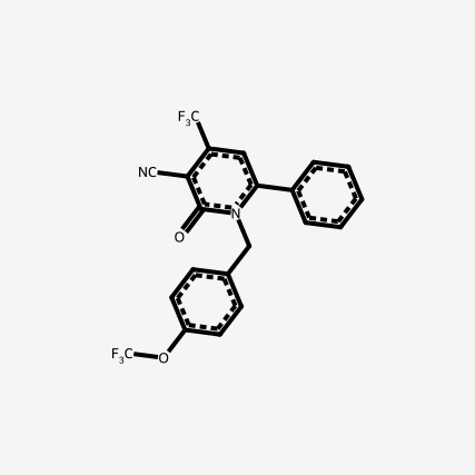 N#Cc1c(C(F)(F)F)cc(-c2ccccc2)n(Cc2ccc(OC(F)(F)F)cc2)c1=O